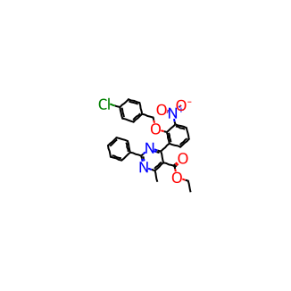 CCOC(=O)c1c(C)nc(-c2ccccc2)nc1-c1cccc([N+](=O)[O-])c1OCc1ccc(Cl)cc1